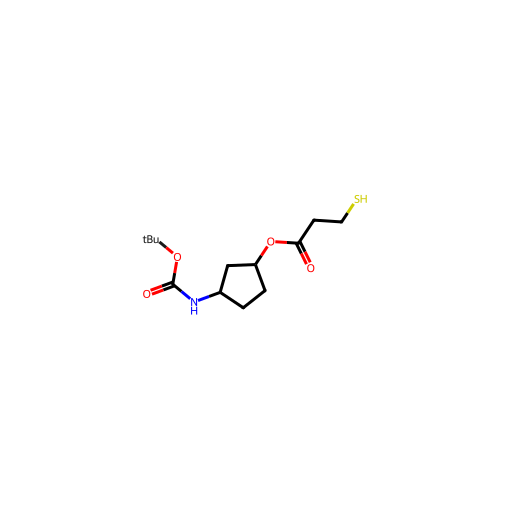 CC(C)(C)OC(=O)NC1CCC(OC(=O)CCS)C1